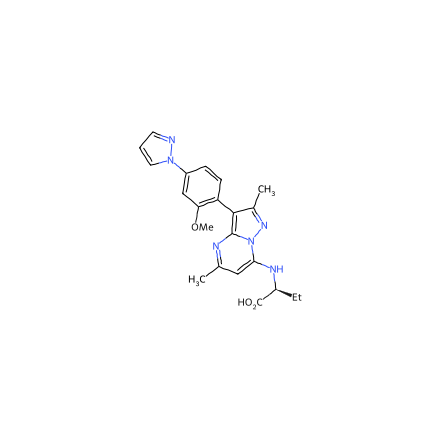 CC[C@H](Nc1cc(C)nc2c(-c3ccc(-n4cccn4)cc3OC)c(C)nn12)C(=O)O